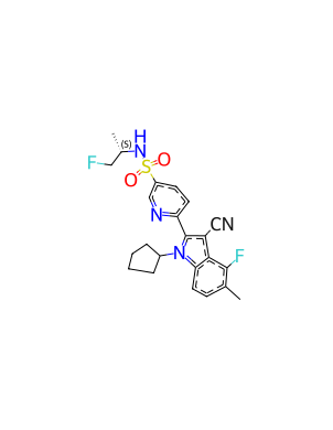 Cc1ccc2c(c1F)c(C#N)c(-c1ccc(S(=O)(=O)N[C@@H](C)CF)cn1)n2C1CCCC1